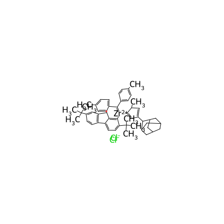 Cc1ccc([C](c2ccc(C)cc2)=[Zr+2]([C]2=CC(C3C4CC5CC(C4)CC3C5)=CC2C)[c]2c(C(C)(C)C)ccc3c2Cc2cc(C(C)(C)C)ccc2-3)cc1.[Cl-].[Cl-]